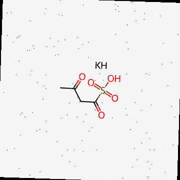 CC(=O)CC(=O)S(=O)(=O)O.[KH]